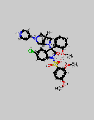 COc1ccc(S(=O)(=O)N2C(=O)C(c3ccccc3OC)(N3C[C@H]4CN(c5ccncc5)C[C@H]43)c3cc(Cl)ccc32)c(OC)c1